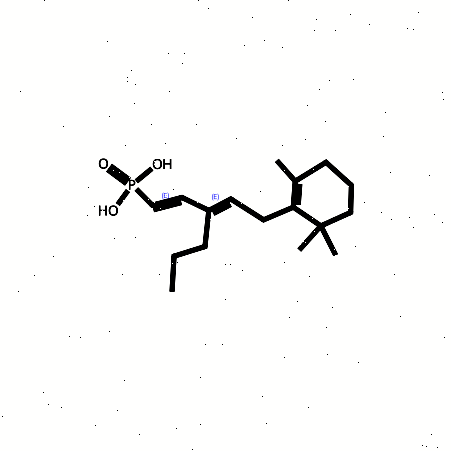 CCCC(/C=C/P(=O)(O)O)=C\CC1=C(C)CCCC1(C)C